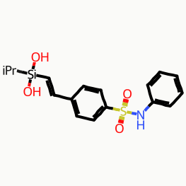 CC(C)[Si](O)(O)C=Cc1ccc(S(=O)(=O)Nc2ccccc2)cc1